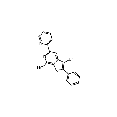 Oc1nc(-c2ccccn2)nc2c(Br)c(-c3ccccc3)sc12